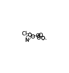 Cc1ccc(S(=O)(=O)OCCOc2ccc(Cl)c3c2CCN(C)CC3)cc1